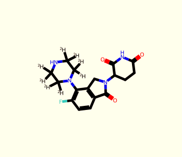 [2H]C1([2H])NC([2H])([2H])C([2H])([2H])N(c2c(F)ccc3c2CN(C2CCC(=O)NC2=O)C3=O)C1([2H])[2H]